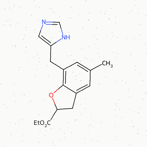 CCOC(=O)C1Cc2cc(C)cc(Cc3cnc[nH]3)c2O1